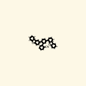 N#Cc1ccccc1-c1cc(-c2cccc3c2oc2ccccc23)ccc1-c1ccc2oc3ccccc3c2c1